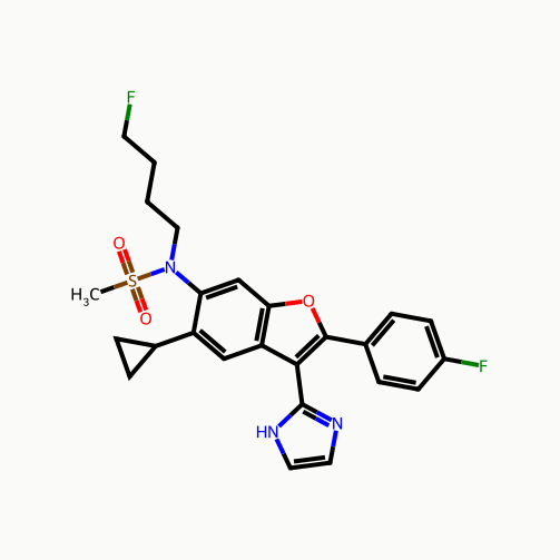 CS(=O)(=O)N(CCCCF)c1cc2oc(-c3ccc(F)cc3)c(-c3ncc[nH]3)c2cc1C1CC1